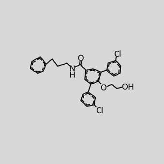 O=C(NCCCc1ccccc1)c1cc(-c2cccc(Cl)c2)c(OCCO)c(-c2cccc(Cl)c2)c1